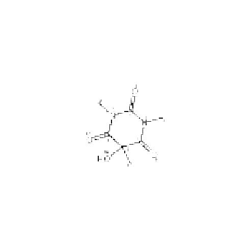 CN1C(=O)N(C)C(=O)C(C)(O)C1=O